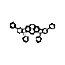 c1ccc(-c2ccc3c(c2)c2cc4c5c(c2n3-c2ccccc2)CCc2c-5c(cc3c5cc(-c6ccccc6)ccc5n(-c5ccccc5)c23)CC4)cc1